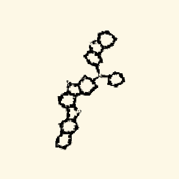 c1ccc(N(c2ccc3c(c2)sc2ccc4c5cc6ccccc6cc5oc4c23)c2ccc3sc4ccccc4c3c2)cc1